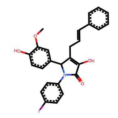 COc1cc(C2C(CC=Cc3ccccc3)=C(O)C(=O)N2c2ccc(I)cc2)ccc1O